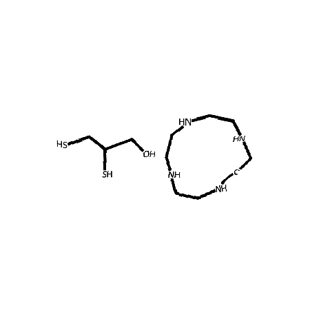 C1CNCCNCCNCCN1.OCC(S)CS